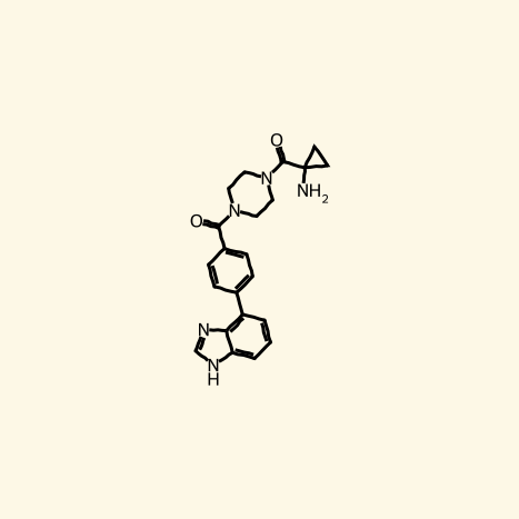 NC1(C(=O)N2CCN(C(=O)c3ccc(-c4cccc5[nH]cnc45)cc3)CC2)CC1